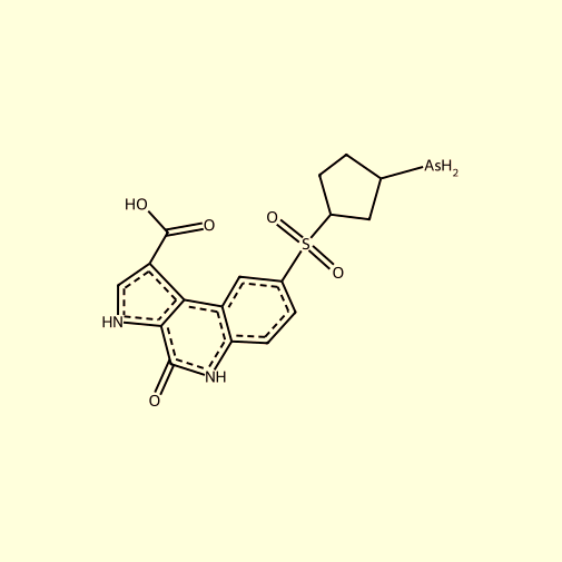 O=C(O)c1c[nH]c2c(=O)[nH]c3ccc(S(=O)(=O)C4CCC([AsH2])C4)cc3c12